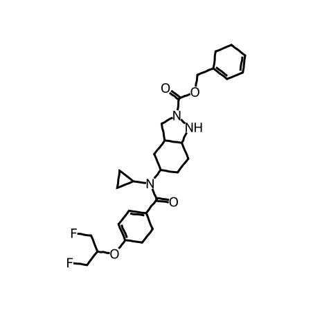 O=C(OCC1=CC=CCC1)N1CC2CC(N(C(=O)C3=CC=C(OC(CF)CF)CC3)C3CC3)CCC2N1